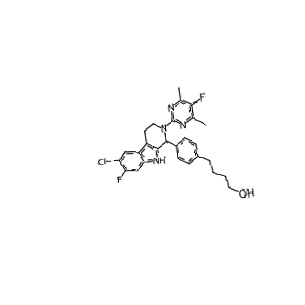 Cc1nc(N2CCc3c([nH]c4cc(F)c(Cl)cc34)C2c2ccc(CCCCO)cc2)nc(C)c1F